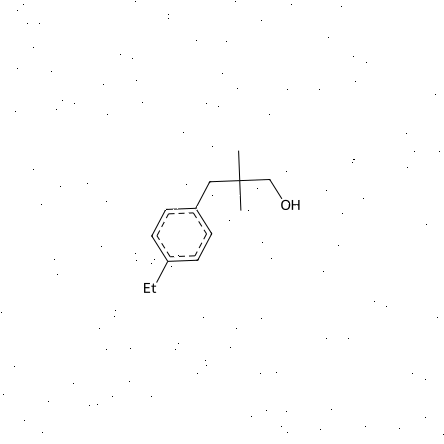 CCc1ccc(CC(C)(C)CO)cc1